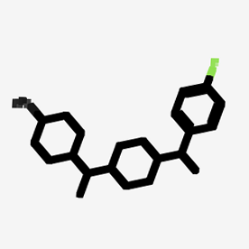 CCCC1CCC(C(C)C2CCC(C(C)c3ccc(F)cc3)CC2)CC1